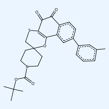 Cc1cccc(-c2ccc3c(c2)C2=C(SCC4(CCN(C(=O)OC(C)(C)C)CC4)O2)C(=O)C3=O)c1